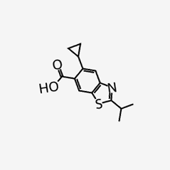 CC(C)c1nc2cc(C3CC3)c(C(=O)O)cc2s1